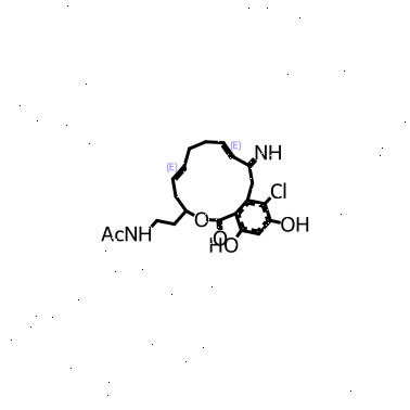 CC(=O)NCCC1C/C=C/CC/C=C/C(=N)Cc2c(Cl)c(O)cc(O)c2C(=O)O1